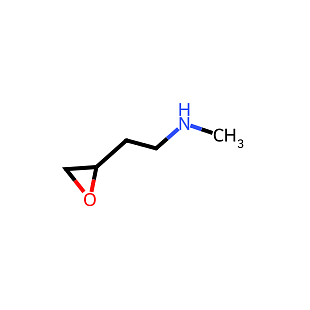 CNCCC1CO1